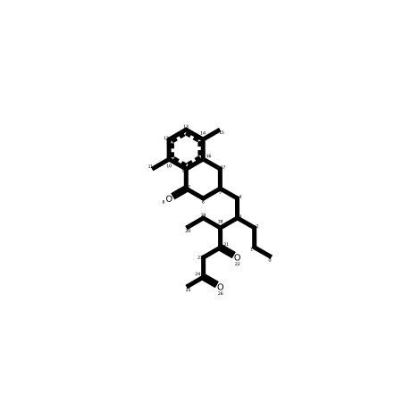 CCCC(CC1CC(=O)c2c(C)ccc(C)c2C1)C(CC)C(=O)CC(C)=O